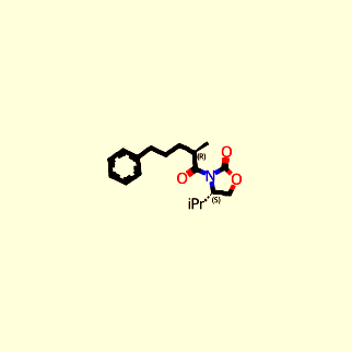 CC(C)[C@H]1COC(=O)N1C(=O)[C@H](C)CCCc1ccccc1